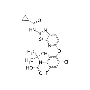 CC(C)(C)N(C(=O)O)c1cc(Oc2ccc3nc(NC(=O)C4CC4)sc3n2)c(Cl)cc1F